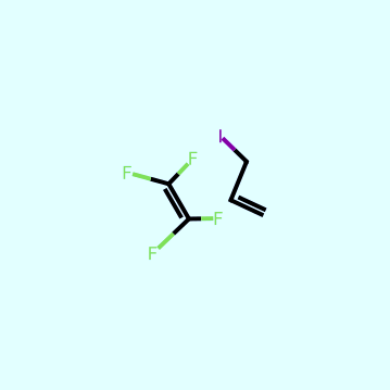 C=CCI.FC(F)=C(F)F